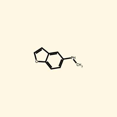 CPc1ccc2occc2c1